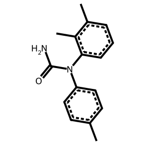 Cc1ccc(N(C(N)=O)c2cccc(C)c2C)cc1